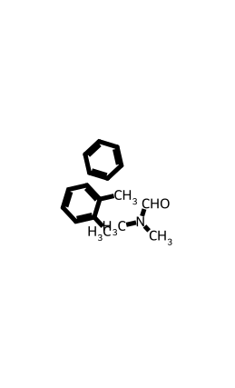 CN(C)C=O.Cc1ccccc1C.c1ccccc1